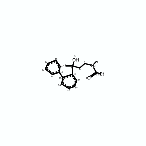 CCC(=O)N(C)CCC(C)(O)c1ccccc1-c1ccccc1